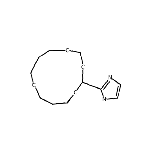 C1=CN=C(C2CCCCCCCCCCC2)[N]1